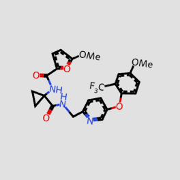 COc1ccc(Oc2ccc(CNC(=O)C3(NC(=O)c4ccc(OC)o4)CC3)nc2)c(C(F)(F)F)c1